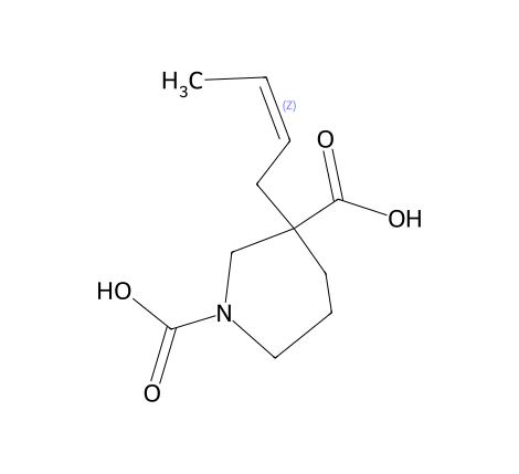 C/C=C\CC1(C(=O)O)CCCN(C(=O)O)C1